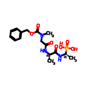 C[C@H](NC(=O)CN(C)C(=O)OCc1ccccc1)C(=O)N[C@@H](C)P(=O)(O)O